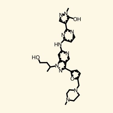 CC(CCO)n1nc(-c2ccc(CN3CCN(C)CC3)o2)c2cnc(Nc3ccnc(-c4cnn(C)c4O)n3)cc21